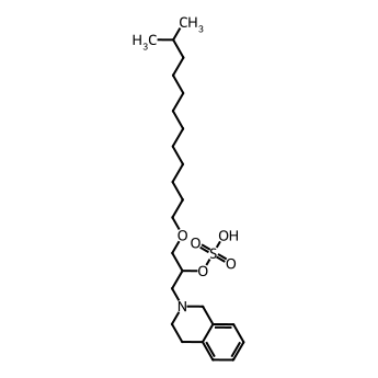 CC(C)CCCCCCCCCCOCC(CN1CCc2ccccc2C1)OS(=O)(=O)O